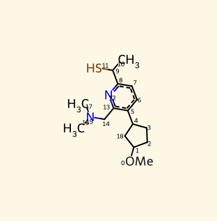 COC1CCC(c2ccc(C(C)S)nc2CN(C)C)C1